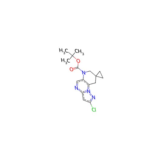 CC(C)(C)OC(=O)N1CC2(CC2)Cc2c1cnc1cc(Cl)nn21